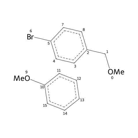 COCc1ccc(Br)cc1.COc1ccccc1